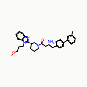 COCCCn1c([C@@H]2CCCN(C(=O)C[C@H](N)Cc3ccc(-c4cccc(C)c4)cc3)C2)nc2ccccc21